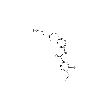 CCc1ccc(C(=O)Nc2ccc3c(c2)CN(CCO)CC3)cc1Br